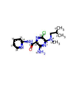 CC(C)CN(C)c1nc(N)c(C(=O)Nc2ccccn2)nc1Cl